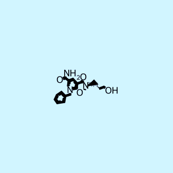 CN(C(=O)c1cc(C(N)=O)cn(Cc2ccccc2)c1=O)[C@H]1C[C@@H]1CCO